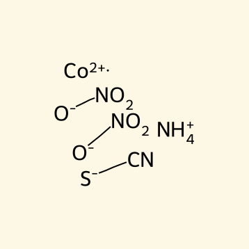 N#C[S-].O=[N+]([O-])[O-].O=[N+]([O-])[O-].[Co+2].[NH4+]